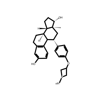 CCCN1CC(Oc2ccc([C@H]3C[C@]4(C)[C@@H](O)CC[C@H]4[C@@H]4CCc5cc(O)ccc5C34)cc2)C1